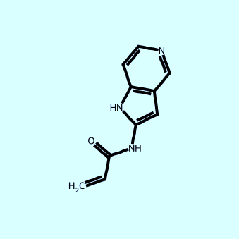 C=CC(=O)Nc1cc2cnccc2[nH]1